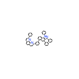 c1ccc(-c2ccc3ccc4ccc(-c5cccc(-c6cccc7c6cc(-c6ccccc6)c6c(-c8ccccc8)nn(-c8ccccc8)c67)c5)nc4c3n2)cc1